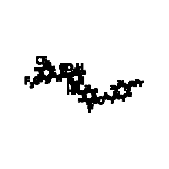 CCCN1CCN(CCOc2ccc(Nc3nccc(N(Cc4cc(C(F)(F)F)cc(C(F)(F)F)c4)C(=O)O)n3)cc2F)CC1